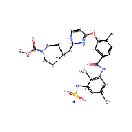 COc1c(NC(=O)c2ccc(C)c(Oc3ccnc(CC4CCCN(C(=O)OC(C)(C)C)CC4)n3)c2)cc(C(C)(C)C)cc1NS(C)(=O)=O